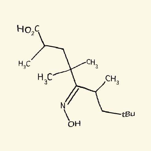 CC(CC(C)(C)/C(=N/O)C(C)CC(C)(C)C)C(=O)O